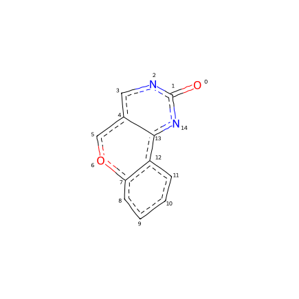 O=c1ncc2coc3ccccc3c-2n1